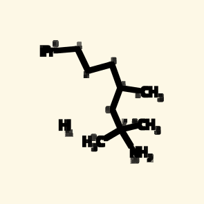 CC(C)CCCC(C)CC(C)(C)N.I